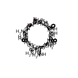 CCCC[C@H]1C(=O)N(C)CC(=O)[C@@H](CCCNC(=N)N)C(=O)N[C@H](C(=O)NCC(N)=O)CSCC(=O)N[C@@H](Cc2ccccc2)C(=O)N(C)[C@@H](C)C(=O)N[C@@H](CC(N)=O)C(=O)N2CCC[C@H]2C(=O)N[C@@H](Cc2cnc[nH]2)C(=O)N[C@@H](CC(C)C)C(=O)N(C)CC(=O)N[C@@H](Cc2c[nH]c3ccccc23)C(=O)N[C@@H](CO)C(=O)N[C@@H](Cc2c[nH]c3ccccc23)C(=O)N1C